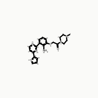 CN1CCN(C(=O)COc2cccc(-c3nccc(-c4cccs4)n3)c2N)CC1